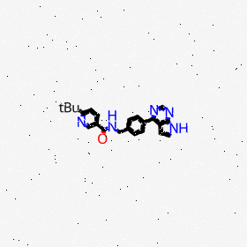 CC(C)(C)c1ccc(C(=O)NCc2ccc(-c3ncnc4[nH]ccc34)cc2)cn1